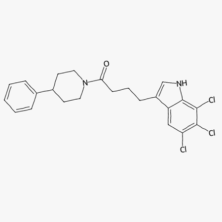 O=C(CCCc1c[nH]c2c(Cl)c(Cl)c(Cl)cc12)N1CCC(c2ccccc2)CC1